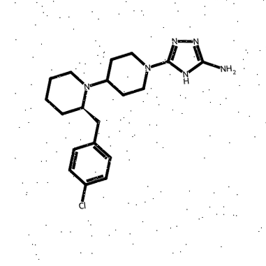 Nc1nnc(N2CCC(N3CCCC[C@@H]3Cc3ccc(Cl)cc3)CC2)[nH]1